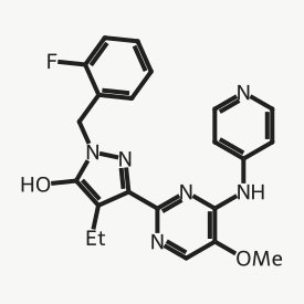 CCc1c(-c2ncc(OC)c(Nc3ccncc3)n2)nn(Cc2ccccc2F)c1O